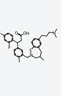 Cc1ccc(C(CC(=O)O)c2ccc(F)cc2F)cc1CN1CC(C)Cc2cc(CCCN(C)C)ccc2S1